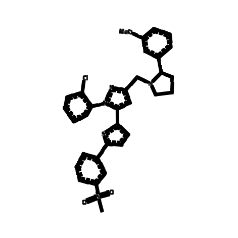 COc1cccc(C2CCCN2Cc2cc(-c3ccc(-c4cccc(S(C)(=O)=O)c4)s3)n(-c3ccccc3Cl)n2)c1